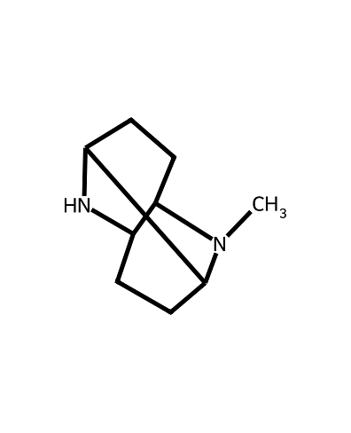 CN1C2CCC3NC2CCC31